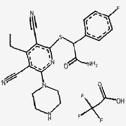 CCc1c(C#N)c(SC(C(N)=O)c2ccc(F)cc2)nc(N2CCNCC2)c1C#N.O=C(O)C(F)(F)F